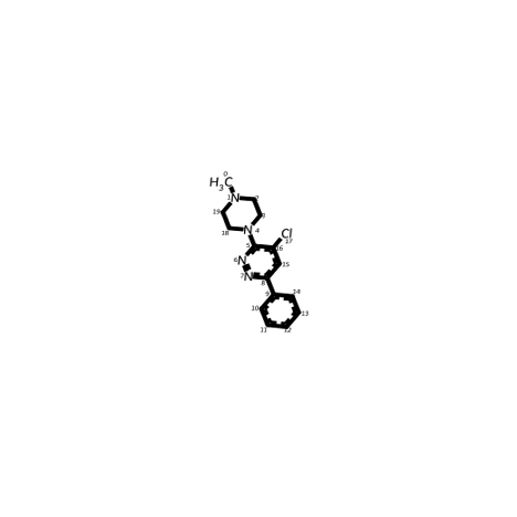 CN1CCN(c2nnc(-c3ccccc3)cc2Cl)CC1